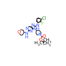 CC(C)(C)OC(=O)N1CCC(n2c(Nc3cccc(Cl)c3F)nc3cnc(NC4CCOCC4)nc32)CC1